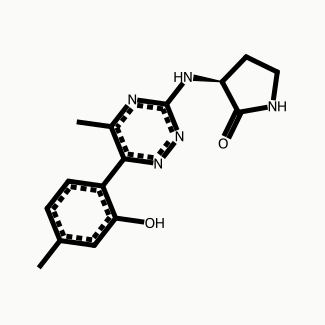 Cc1ccc(-c2nnc(N[C@H]3CCNC3=O)nc2C)c(O)c1